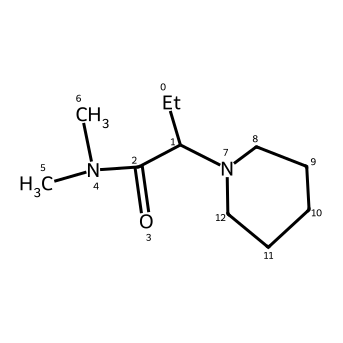 CCC(C(=O)N(C)C)N1CCCCC1